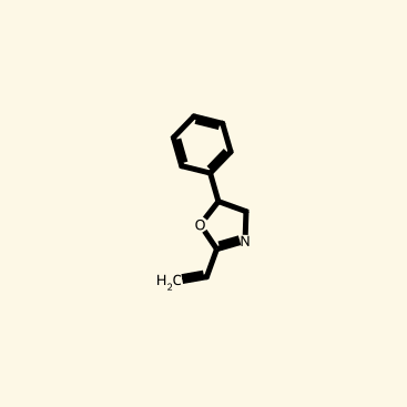 C=CC1=NCC(c2ccccc2)O1